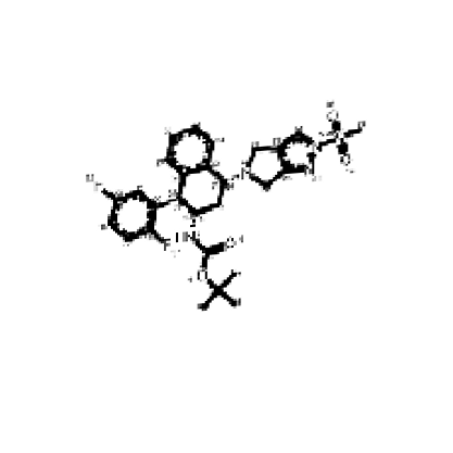 CC(C)(C)OC(=O)N[C@H]1C[C@@H](N2Cc3cn(S(C)(=O)=O)nc3C2)c2ccccc2[C@@H]1c1cc(F)ccc1F